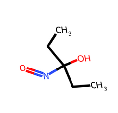 CCC(O)(CC)N=O